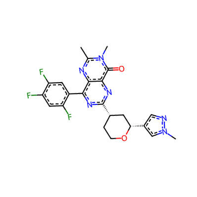 Cc1nc2c(-c3cc(F)c(F)cc3F)nc([C@H]3CCO[C@@H](c4cnn(C)c4)C3)nc2c(=O)n1C